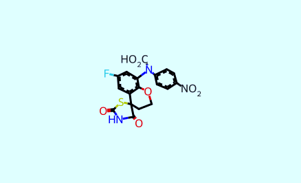 O=C1NC(=O)C2(CCOc3c(N(C(=O)O)c4ccc([N+](=O)[O-])cc4)cc(F)cc32)S1